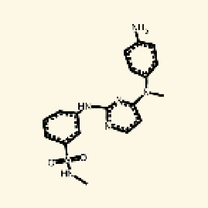 CNS(=O)(=O)c1cccc(Nc2nccc(N(C)c3ccc(N)cc3)n2)c1